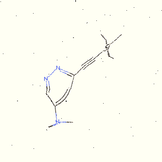 CN(C)c1cnnc(C#C[Si](C)(C)C)c1